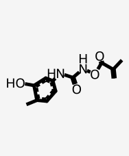 C=C(C)C(=O)ONC(=O)Nc1ccc(C)c(O)c1